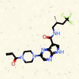 C=CC(=O)N1CCN(c2cnc3[nH]cc(C(=O)NC[C@H](C)CC(F)(F)F)c3n2)CC1